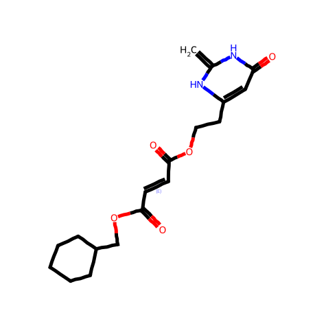 C=C1NC(=O)C=C(CCOC(=O)/C=C/C(=O)OCC2CCCCC2)N1